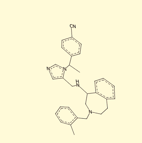 Cc1ccccc1CN1CCc2ccccc2C(NCc2cncn2C(C)c2ccc(C#N)cc2)C1